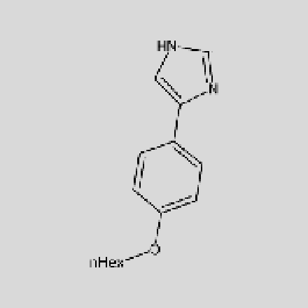 CCCCCCOc1ccc(-c2c[nH][c]n2)cc1